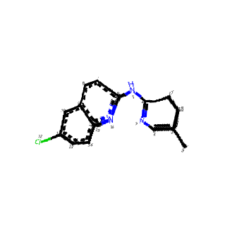 CC1=CN=C(Nc2ccc3cc(Cl)ccc3n2)CC1